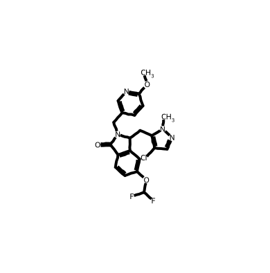 COc1ccc(CN2C(=O)c3ccc(OC(F)F)cc3C2Cc2c(Cl)cnn2C)cn1